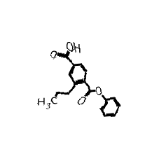 CCCc1cc(C(=O)O)ccc1C(=O)Oc1ccccc1